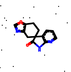 O=C1Nc2ncccc2C12CCc1ocnc1C2